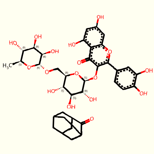 C[C@@H]1O[C@@H](OC[C@H]2O[C@@H](Oc3c(-c4ccc(O)c(O)c4)oc4cc(O)cc(O)c4c3=O)[C@H](O)[C@@H](O)[C@@H]2O)[C@H](O)[C@H](O)[C@H]1O.O=C1C2CC3CC(C2)CC1C3